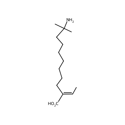 CC=C(CCCCCCCC(C)(C)N)C(=O)O